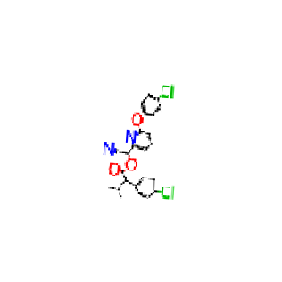 CC(C)C(C(=O)OC(C#N)c1cccc(Oc2ccc(Cl)cc2)n1)c1ccc(Cl)cc1